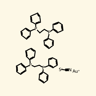 N#C[S-].[Au+].c1ccc(P(CCP(c2ccccc2)c2ccccc2)c2ccccc2)cc1.c1ccc(P(CCP(c2ccccc2)c2ccccc2)c2ccccc2)cc1